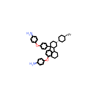 CCC[C@H]1CC[C@H](C2CCC(c3ccc(Oc4ccc(N)cc4)cc3)(c3ccc(Oc4ccc(N)cc4)cc3)C(C3CCCCC3)C2)CC1